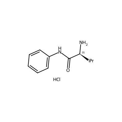 CC(C)[C@H](N)C(=O)Nc1ccccc1.Cl